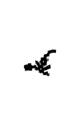 N#Cc1c(N)nc(SCc2ncon2)c(C#N)c1-c1ccc(OCCO)nc1